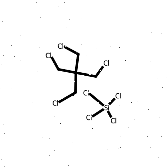 ClCC(CCl)(CCl)CCl.Cl[Si](Cl)(Cl)Cl